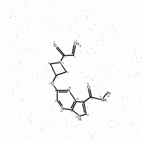 C=CC(=O)N1CC(Oc2cnc3[nH]cc(C(=O)NC(C)C)c3n2)C1